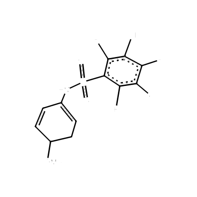 COC1C=CC(NS(=O)(=O)c2c(F)c(Cl)c(F)c(Cl)c2F)=CC1